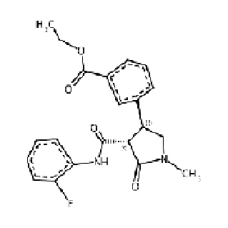 CCOC(=O)c1cccc([C@H]2CN(C)C(=O)[C@@H]2C(=O)Nc2ccccc2F)c1